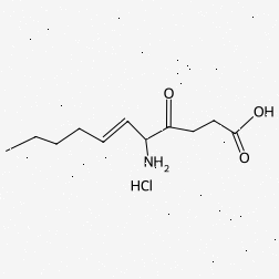 CCCCC=CC(N)C(=O)CCC(=O)O.Cl